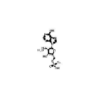 O.O=P(O)(O)OC[C@H]1O[C@@H](n2cnc3c(O)ncnc32)[C@H](O)[C@@H]1O